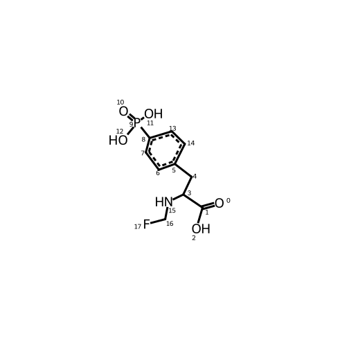 O=C(O)C(Cc1ccc(P(=O)(O)O)cc1)NCF